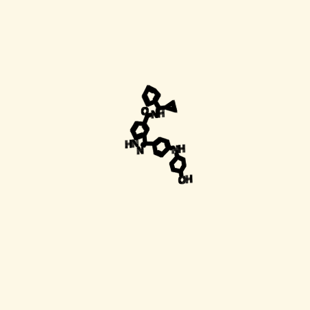 O=C(NC(c1ccccc1)C1CC1)c1ccc2[nH]nc(-c3ccc(NC4CCC(O)CC4)cc3)c2c1